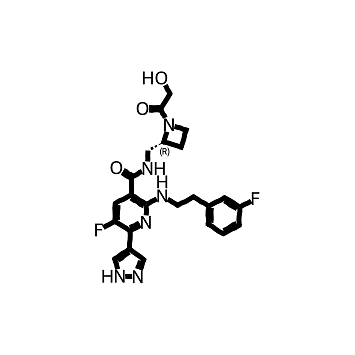 O=C(NC[C@H]1CCN1C(=O)CO)c1cc(F)c(-c2cn[nH]c2)nc1NCCc1cccc(F)c1